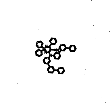 N#CC1=C(N(c2cccc(-c3cccc(-c4ccccc4)c3)c2)c2cccc(-c3cccc(-c4ccccc4)c3)c2)N=P(c2ccccc2)(c2ccccc2)N=C1c1ccccc1